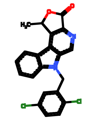 CC1OC(=O)c2ncc3c(c21)c1ccccc1n3Cc1cc(Cl)ccc1Cl